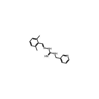 Cc1cccc(C)c1/C=N/NC(=N)NCc1cccnc1